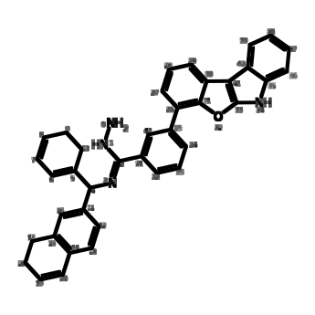 NN/C(=N\C(C1=CC=CCC1)c1ccc2c(c1)CCC=C2)c1cccc(-c2cccc3c2oc2[nH]c4ccccc4c23)c1